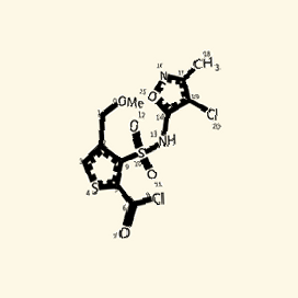 COCc1csc(C(=O)Cl)c1S(=O)(=O)Nc1onc(C)c1Cl